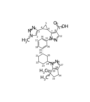 Cn1cc(C2CC2c2c(C(=O)O)cnn2-c2cccc([C@H]3CCC[C@H](n4ncc5c4C(C)(C)CC5)C3)c2)nn1